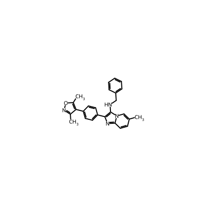 Cc1ccc2nc(-c3ccc(-c4c(C)noc4C)cc3)c(NCc3ccccc3)n2c1